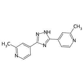 Cc1cc(-c2n[nH]c(-c3ccnc(C)c3)n2)ccn1